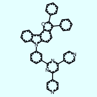 c1ccc(-c2oc3c(ccc4c3c3ccccc3n4-c3cccc(-c4nc(-c5ccncc5)cc(-c5ccncc5)n4)c3)c2-c2ccccc2)cc1